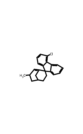 CC1C=C2CC(CCC23c2ccccc2-c2c(Cl)cccc23)C1